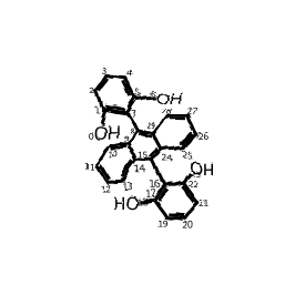 Oc1cccc(O)c1-c1c2ccccc2c(-c2c(O)cccc2O)c2ccccc12